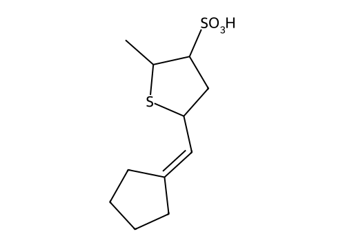 CC1SC(C=C2CCCC2)CC1S(=O)(=O)O